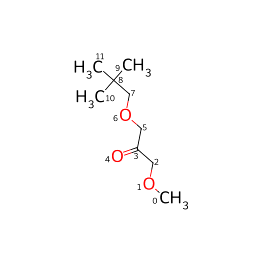 COCC(=O)COCC(C)(C)C